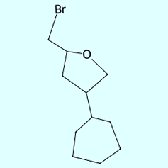 BrCC1CC(C2CCCCC2)CO1